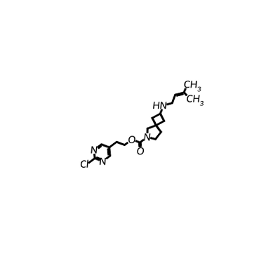 CC(C)=CCNC1CC2(CCN(C(=O)OCCc3cnc(Cl)nc3)C2)C1